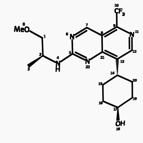 COC[C@H](C)Nc1ncc2c(C(F)(F)F)ncc([C@H]3CC[C@H](O)CC3)c2n1